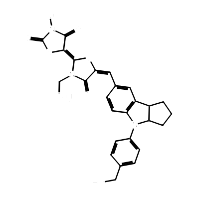 CCN1C(=O)/C(=c2\s/c(=C/c3ccc4c(c3)C3CCCC3N4c3ccc(CO)cc3)c(=O)n2CC(=O)O)SC1=S